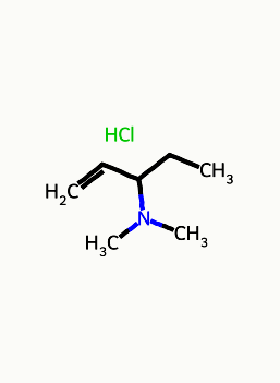 C=CC(CC)N(C)C.Cl